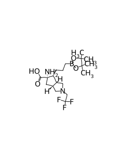 CC1(C)OB(CCC[C@H]2[C@@H]3CN(CC(F)(F)F)C[C@@H]3C[C@@]2(N)C(=O)O)OC1(C)C